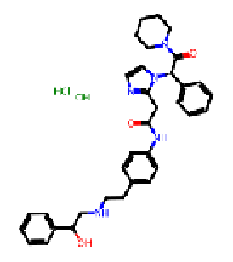 Cl.Cl.O=C(Cc1nccn1[C@@H](C(=O)N1CCCCC1)c1ccccc1)Nc1ccc(CCNCC(O)c2ccccc2)cc1